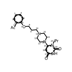 CC(=O)c1ccccc1OCCCN1CCN(c2cc(=O)[nH]c(=O)n2C(C)C)CC1